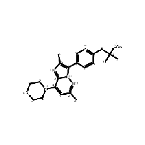 COC(C)(C)Cc1ccc(-c2c(C)nc3c(N4CCOCC4)cc(C)nn23)cn1